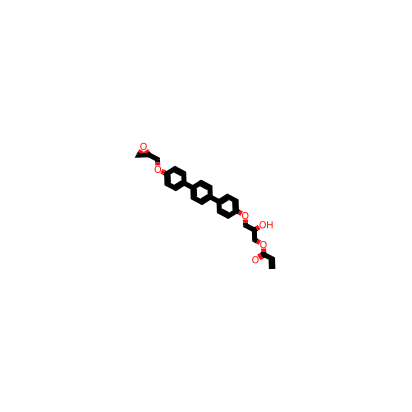 C=CC(=O)OCC(O)COc1ccc(-c2ccc(-c3ccc(OCC4CO4)cc3)cc2)cc1